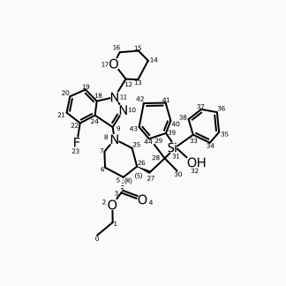 CCOC(=O)[C@@H]1CCN(c2nn(C3CCCCO3)c3cccc(F)c23)C[C@H]1CC(C)(C)[Si](O)(c1ccccc1)c1ccccc1